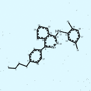 CCCCc1ccc(-c2nnc(Nc3cc(C)ccc3C)c3ccccc23)cc1